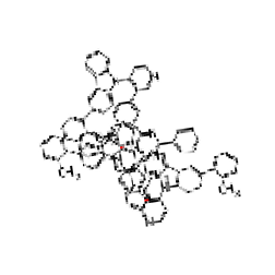 Cc1ccccc1C1=Cc2c(n(-c3ccncc3-c3ccc(-n4c5ccccc5c5cc(-c6ccccc6C)ccc54)c(-c4nc(-c5ccccc5)nc(-c5cc(-c6cnccc6-n6c7ccccc7c7cc(-c8ccccc8C)ccc76)ccc5-n5c6ccccc6c6cc(-c7ccccc7C)ccc65)n4)c3)c3ccccc23)CC1